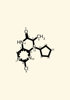 CC1C(=O)Nc2cnc(Cl)nc2N1C1CCCC1